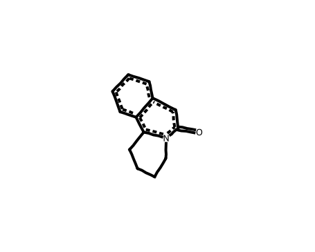 O=c1cc2ccccc2c2n1CCCC2